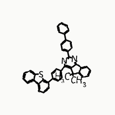 CC1(C)c2ccccc2-c2nc(-c3ccc(-c4ccccc4)cc3)nc(-c3ccc(-c4cccc5c4sc4ccccc45)cc3)c21